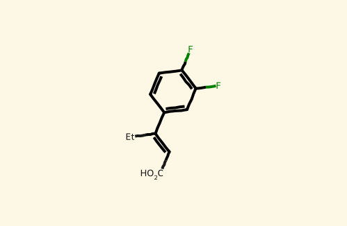 CCC(=CC(=O)O)c1ccc(F)c(F)c1